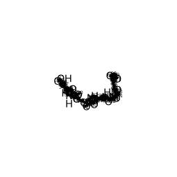 COc1cc2c(cc1OCCCOc1cc3c(cc1OC)C(=O)N1C=C(c4ccc(C(=O)O)cc4)C[C@H]1CN3)N=C[C@@H]1CC(c3ccc(NC(=O)[C@H](C)NC(=O)[C@@H](NC(=O)CCCCCN4C(=O)C=CC4=O)C(C)C)cc3)=CN1C2=O